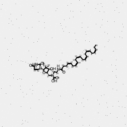 CC/C=C\C/C=C\C/C=C\C/C=C\C/C=C\C/C=C\CCC(=O)NCCN(C[C@H]1O[C@@H](n2ccc(=O)[nH]c2=O)[C@](C)(F)[C@@H]1O)C(=O)O